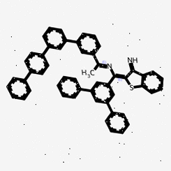 C/C(=N\C(=C1\Sc2ccccc2C1=N)c1cc(-c2ccccc2)cc(-c2ccccc2)c1)c1cccc(-c2cccc(-c3ccc(-c4ccccc4)cc3)c2)c1